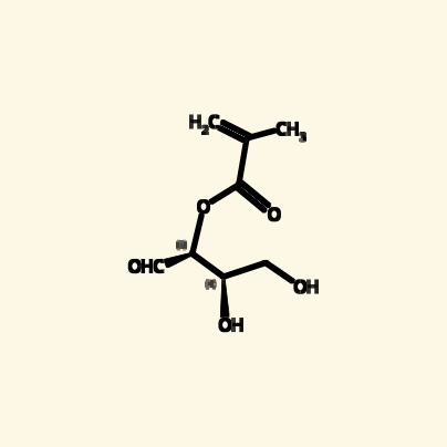 C=C(C)C(=O)O[C@H](C=O)[C@H](O)CO